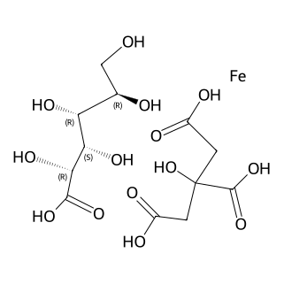 O=C(O)CC(O)(CC(=O)O)C(=O)O.O=C(O)[C@H](O)[C@@H](O)[C@H](O)[C@H](O)CO.[Fe]